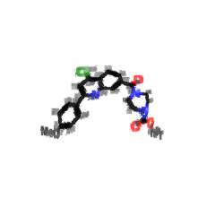 CCCOC(=O)N1CCN(C(=O)c2ccc3c(Cl)cc(-c4ccc(OC)cc4)nc3c2)CC1